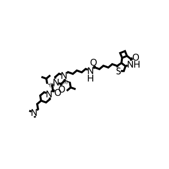 CC(C)C[C@H]1C(=O)N([C@@H](CC(C)C)C(=O)N2CCC(CCN(C)C)CC2)CCN1CCCCCNC(=O)CCCCC1SCC2NC(=O)C3CCC3C21